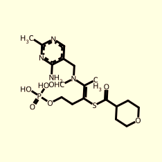 CC(=C(CCOP(=O)(O)O)SC(=O)C1CCOCC1)N(C=O)Cc1cnc(C)nc1N